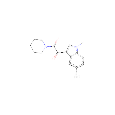 Cn1cc(C(=O)C(=O)N2CCCCC2)c2cc(N=O)ccc21